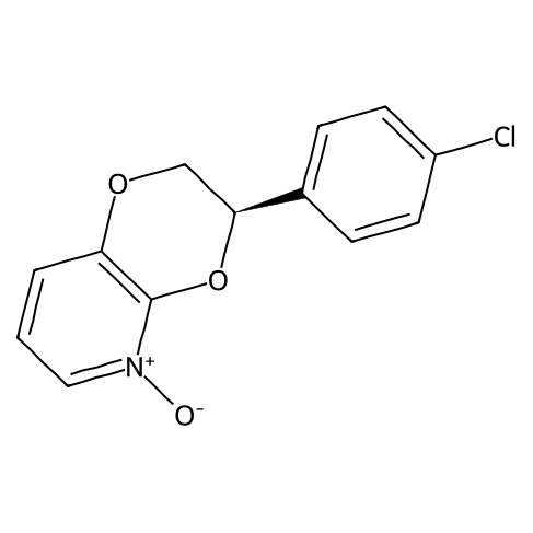 [O-][n+]1cccc2c1O[C@H](c1ccc(Cl)cc1)CO2